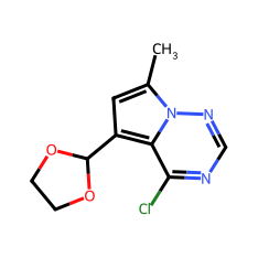 Cc1cc(C2OCCO2)c2c(Cl)ncnn12